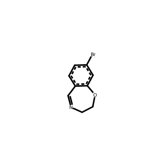 Brc1ccc2c(c1)OCCN=C2